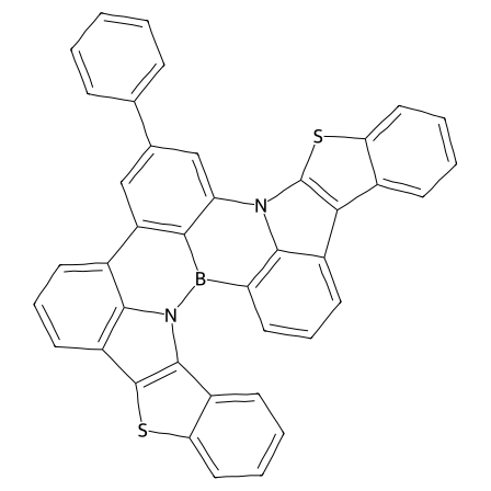 c1ccc(-c2cc3c4c(c2)-n2c5sc6ccccc6c5c5cccc(c52)B4n2c4c-3cccc4c3sc4ccccc4c32)cc1